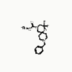 CC(C)(C)OC(=O)N1CC(F)(F)OC2(CCN(Cc3ccccc3)CC2)C1